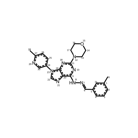 Cc1cccc(/C=N/Nc2nc(N3CCOCC3)nc3c2ncn3-c2ccc(C)nc2)c1